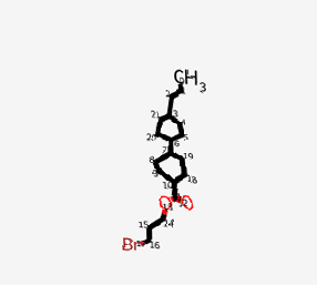 CCCC1CCC(C2CCC(C(=O)OCCCBr)CC2)CC1